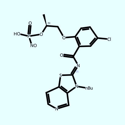 CCCCn1/c(=N/C(=O)c2cc(Cl)ccc2OC[C@H](C)OP(=O)(O)N=O)sc2ccncc21